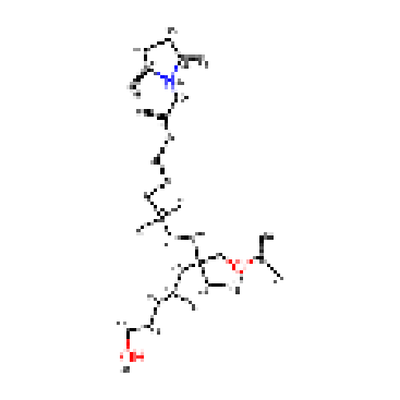 C=C(CCCCC(C)(C)CCC(CC)(COC(C)C)CC(C)CCCO)CN1C(=C)CCC1=C